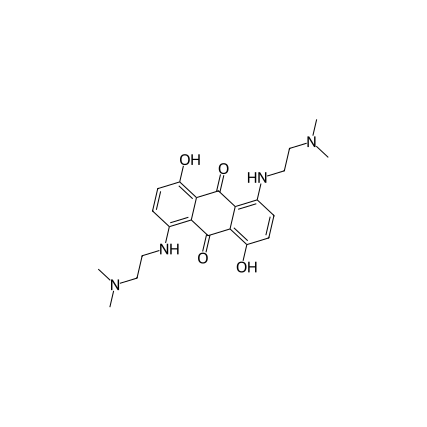 CN(C)CCNc1ccc(O)c2c1C(=O)c1c(O)ccc(NCCN(C)C)c1C2=O